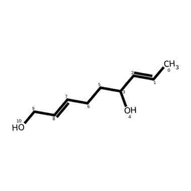 C/C=C/C(O)CC/C=C/CO